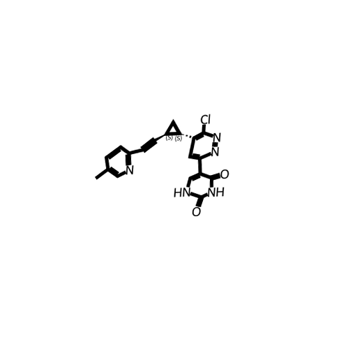 Cc1ccc(C#C[C@H]2C[C@@H]2c2cc(-c3c[nH]c(=O)[nH]c3=O)nnc2Cl)nc1